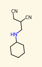 N#CCC(C#N)CNC1CCCCC1